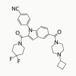 N#Cc1ccc(-n2c(C(=O)N3CCC(F)(F)CC3)cc3cc(C(=O)N4CCN(C5CCC5)CC4)ccc32)cc1